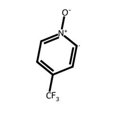 [O-][n+]1[c]cc(C(F)(F)F)cc1